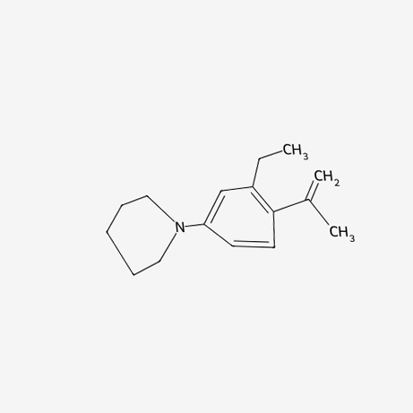 C=C(C)c1ccc(N2CCCCC2)cc1CC